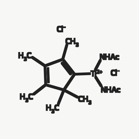 CC(=O)[NH][Ti+2]([NH]C(C)=O)[C]1=C(C)C(C)=C(C)C1(C)C.[Cl-].[Cl-]